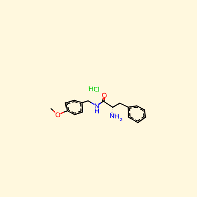 COc1ccc(CNC(=O)[C@@H](N)Cc2ccccc2)cc1.Cl